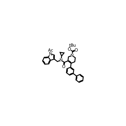 CC(=O)n1cc(CN(C(=O)C2=C(c3cccc(-c4ccccc4)c3)CCN(C(=O)OC(C)(C)C)C2)C2CC2)c2ccccc21